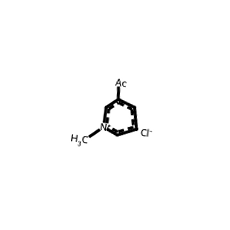 CC(=O)c1ccc[n+](C)c1.[Cl-]